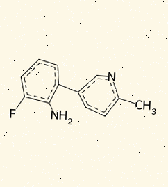 Cc1ccc(-c2cccc(F)c2N)cn1